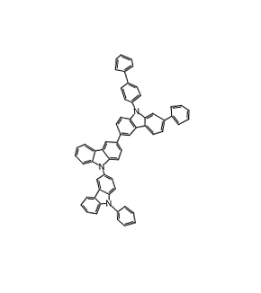 c1ccc(-c2ccc(-n3c4ccc(-c5ccc6c(c5)c5ccccc5n6-c5ccc6c(c5)c5ccccc5n6-c5ccccc5)cc4c4ccc(-c5ccccc5)cc43)cc2)cc1